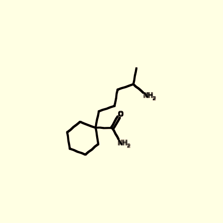 CC(N)CCCC1(C(N)=O)CCCCC1